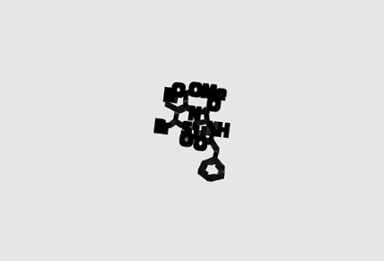 COC(=O)C1=C(CBr)C(Br)[S+]([O-])[C@@H]2C(NC(=O)Cc3ccccc3)C(=O)N12